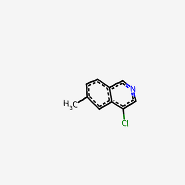 Cc1ccc2cncc(Cl)c2c1